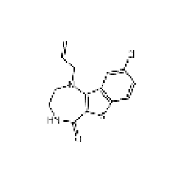 C=CCN1CCNC(=O)c2sc3ccc(Cl)cc3c21